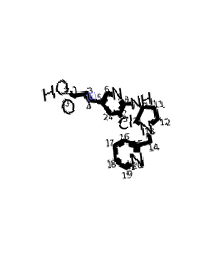 O=C(O)/C=C/c1cnc(NC2CCN(Cc3ccccn3)C2)c(Cl)c1